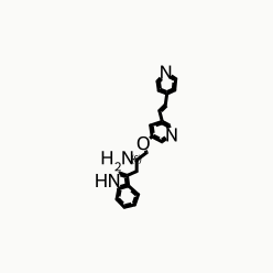 N[C@H](COc1cncc(C=Cc2ccncc2)c1)Cc1c[nH]c2ccccc12